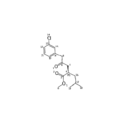 COC(=O)[C@@H](CC(=O)Cc1cccc(Cl)c1)CC(C)C